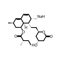 CC[C@H](C)C(=O)O[C@H]1C[C@@H](C)C=C2C=C[C@H](C)[C@H](CC[C@@H]3C[C@@H](O)CC(=O)O3)[C@H]21.[NaH]